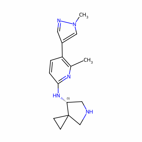 Cc1nc(N[C@@H]2CNCC23CC3)ccc1-c1cnn(C)c1